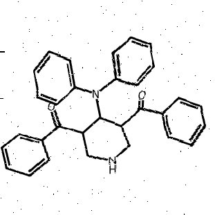 O=C(c1ccccc1)C1CNCC(C(=O)c2ccccc2)C1N(c1ccccc1)c1ccccc1